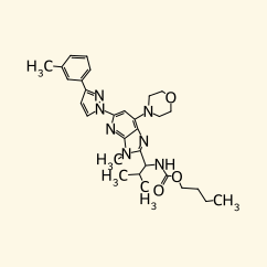 CCCCOC(=O)NC(c1nc2c(N3CCOCC3)cc(-n3ccc(-c4cccc(C)c4)n3)nc2n1C)C(C)C